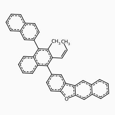 C/C=C\c1c(C)c(-c2ccc3ccccc3c2)c2ccccc2c1-c1ccc2oc3cc4ccccc4cc3c2c1